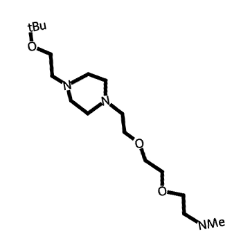 CNCCOCCOCCN1CCN(CCOC(C)(C)C)CC1